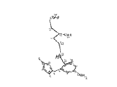 Cn1ccc(-c2cc(N)ccc2NCCC(O)CO)c1